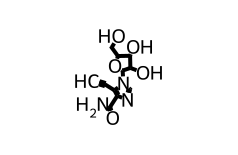 C#Cc1c(C(N)=O)ncn1C1OC(CO)C(O)C1O